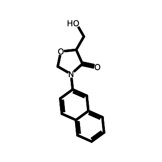 O=C1C(CO)OCN1c1ccc2ccccc2c1